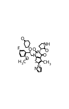 COc1ccc(F)cc1[C@H](Cn1c(=O)n([C@H]2CCNC2=O)c(=O)c2c(C)c(-n3cccn3)sc21)OC1CCC(=O)CC1